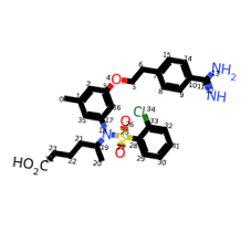 Cc1cc(OCCc2ccc(C(=N)N)cc2)cc(N(C(C)CCCC(=O)O)S(=O)(=O)c2ccccc2Cl)c1